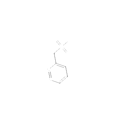 O=S(=O)(O)Cc1cccnn1